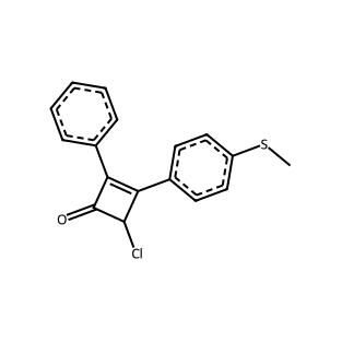 CSc1ccc(C2=C(c3ccccc3)C(=O)C2Cl)cc1